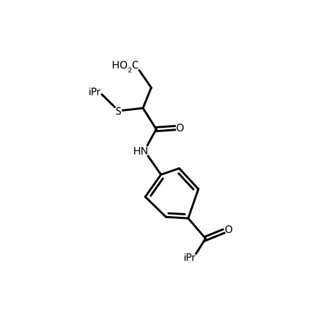 CC(C)SC(CC(=O)O)C(=O)Nc1ccc(C(=O)C(C)C)cc1